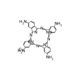 Nc1ccc2c(c1)-c1nc-2nc2[nH]c(nc3nc(nc4[nH]c(n1)c1ccc(N)cc41)-c1cc(N)ccc1-3)c1ccc(N)cc21.[Cu]